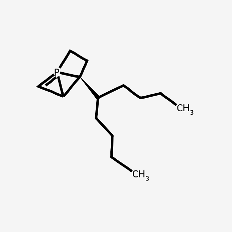 CCCCC(CCCC)[C@]12CCP13=CC23